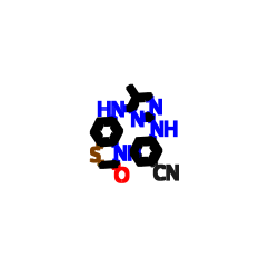 Cc1cnc(Nc2cccc(C#N)c2)nc1Nc1ccc2c(c1)NC(=O)CS2